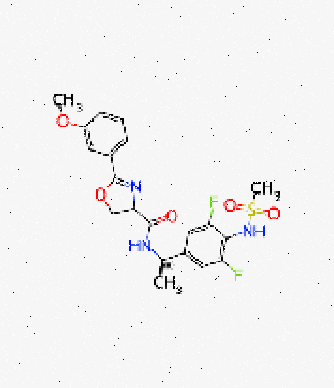 COc1cccc(C2=NC(C(=O)N[C@H](C)c3cc(F)c(NS(C)(=O)=O)c(F)c3)CO2)c1